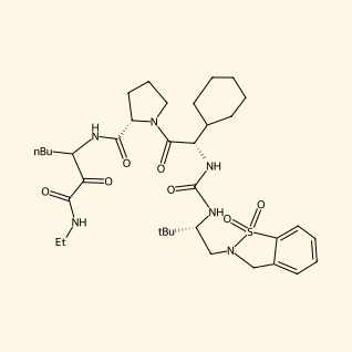 CCCCC(NC(=O)[C@@H]1CCCN1C(=O)[C@@H](NC(=O)N[C@H](CN1Cc2ccccc2S1(=O)=O)C(C)(C)C)C1CCCCC1)C(=O)C(=O)NCC